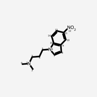 CN(C)CCCn1ccc2cc([N+](=O)[O-])ccc21